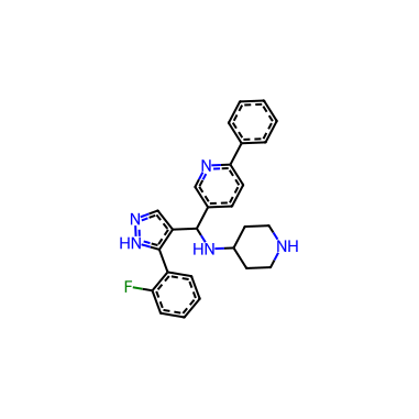 Fc1ccccc1-c1[nH]ncc1C(NC1CCNCC1)c1ccc(-c2ccccc2)nc1